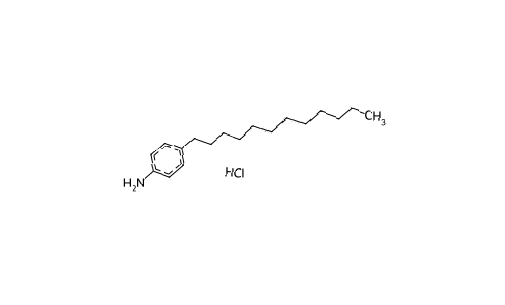 CCCCCCCCCCCCc1ccc(N)cc1.Cl